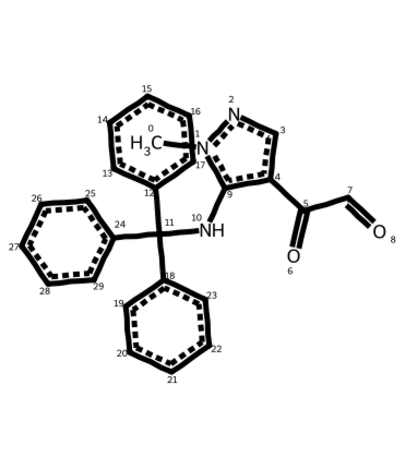 Cn1ncc(C(=O)[C]=O)c1NC(c1ccccc1)(c1ccccc1)c1ccccc1